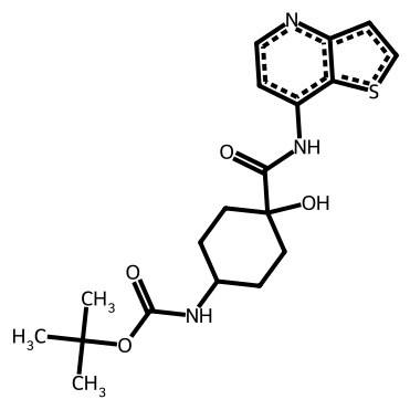 CC(C)(C)OC(=O)NC1CCC(O)(C(=O)Nc2ccnc3ccsc23)CC1